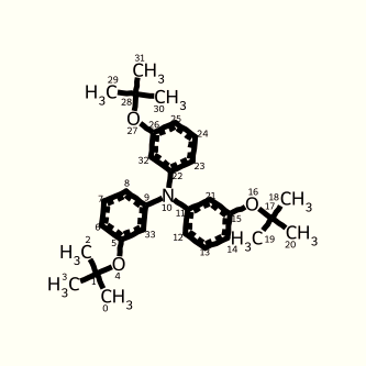 CC(C)(C)Oc1cccc(N(c2cccc(OC(C)(C)C)c2)c2cccc(OC(C)(C)C)c2)c1